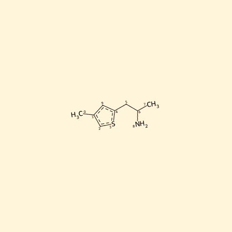 Cc1csc(CC(C)N)c1